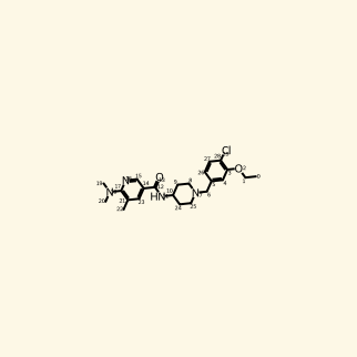 CCOc1cc(CN2CCC(NC(=O)c3cnc(N(C)C)c(C)c3)CC2)ccc1Cl